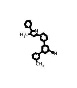 Cc1cccc(-c2cc(C#N)cc(-c3cccc(C4=CC(C)C(c5ccccc5)=N4)c3)c2)c1